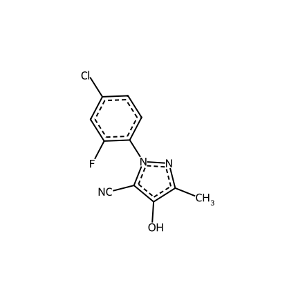 Cc1nn(-c2ccc(Cl)cc2F)c(C#N)c1O